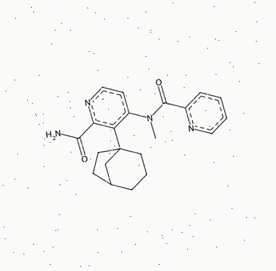 CN(C(=O)c1ccccn1)c1ccnc(C(N)=O)c1C12CCCC(CC1)C2